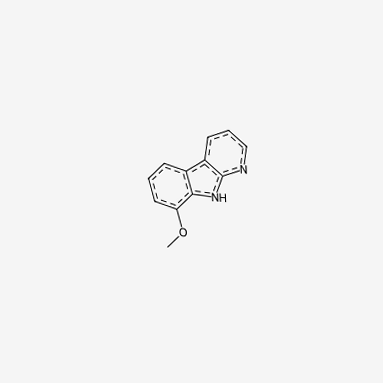 COc1cccc2c1[nH]c1ncccc12